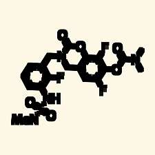 CNS(=O)(=O)Nc1cccc(CN2Cc3cc(F)c(OC(=O)N(C)C)c(F)c3OC2=O)c1F